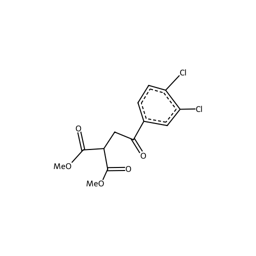 COC(=O)C(CC(=O)c1ccc(Cl)c(Cl)c1)C(=O)OC